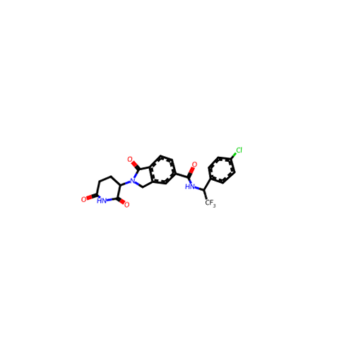 O=C1CCC(N2Cc3cc(C(=O)NC(c4ccc(Cl)cc4)C(F)(F)F)ccc3C2=O)C(=O)N1